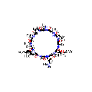 C/C=C/C[C@@H](C)C[C@H]1C(=O)N[C@@H](CC)C(=O)N(C)[C@H](SCCN(CC)CC)C(=O)N(C)[C@@H](CC(C)(C)OCSC)C(=O)N[C@H](C(C)C)C(=O)N(C)[C@H](CC(C)C)C(=O)N[C@H](C)C(=O)N[C@@H](C)C(=O)N(C)[C@@H](CC(C)C)C(=O)N(C)[C@@H](CC(C)C)C(=O)N(C)[C@@H](C(C)C)C(=O)N1C